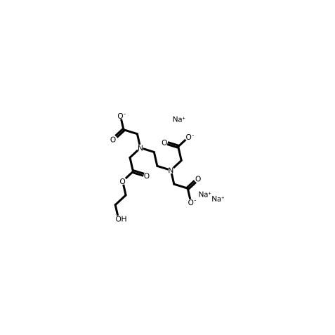 O=C([O-])CN(CCN(CC(=O)[O-])CC(=O)OCCO)CC(=O)[O-].[Na+].[Na+].[Na+]